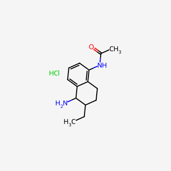 CCC1CCc2c(NC(C)=O)cccc2C1N.Cl